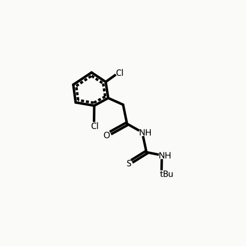 CC(C)(C)NC(=S)NC(=O)Cc1c(Cl)cccc1Cl